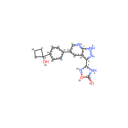 O=c1[nH]c(-c2n[nH]c3ncc(-c4ccc(C5(O)CCC5)cc4)cc23)no1